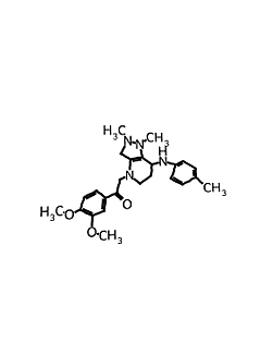 COc1ccc(C(=O)CN2CCC(Nc3ccc(C)cc3)C3=C2CN(C)N3C)cc1OC